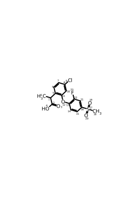 CC(C(=O)O)c1ccc(Cl)cc1Oc1ccc(S(C)(=O)=O)cc1F